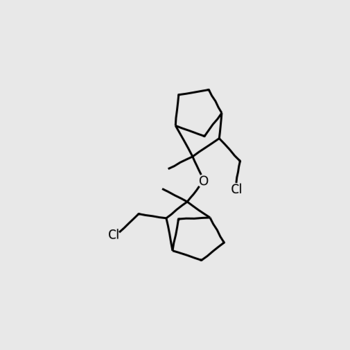 CC1(OC2(C)C3CCC(C3)C2CCl)C2CCC(C2)C1CCl